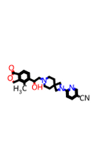 Cc1c(C(O)CN2CCC3(CC2)CN(c2ccc(C#N)cn2)C3)ccc2c1COC2=O